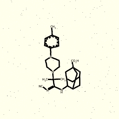 Cc1ccc(N2CCN(C(C)(C)/C(=N\C#N)NC3C4CC5CC3CC(C(=O)O)(C5)C4)CC2)cc1